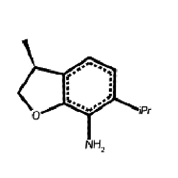 CC(C)c1ccc2c(c1N)OC[C@H]2C